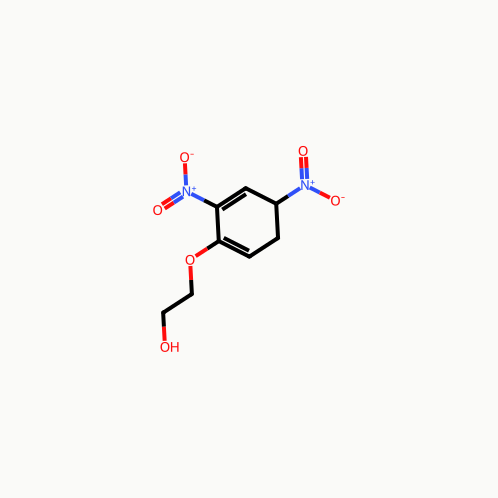 O=[N+]([O-])C1=CC([N+](=O)[O-])CC=C1OCCO